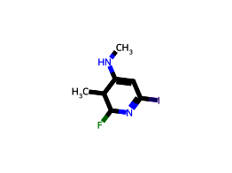 CNC1=CC(I)=NC(F)C1C